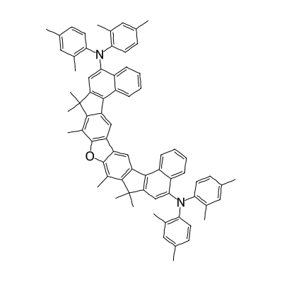 Cc1ccc(N(c2ccc(C)cc2C)c2cc3c(c4ccccc24)-c2cc4c(oc5c(C)c6c(cc54)-c4c(cc(N(c5ccc(C)cc5C)c5ccc(C)cc5C)c5ccccc45)C6(C)C)c(C)c2C3(C)C)c(C)c1